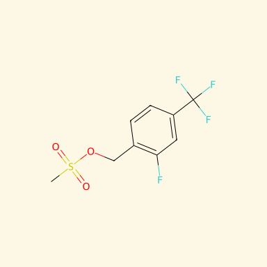 CS(=O)(=O)OCc1ccc(C(F)(F)F)cc1F